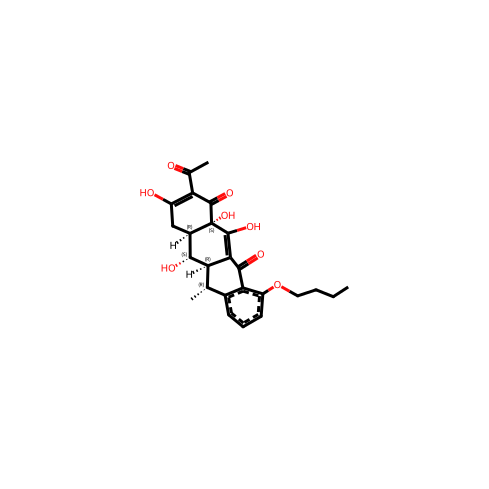 CCCCOc1cccc2c1C(=O)C1=C(O)[C@]3(O)C(=O)C(C(C)=O)=C(O)C[C@@H]3[C@@H](O)[C@@H]1[C@H]2C